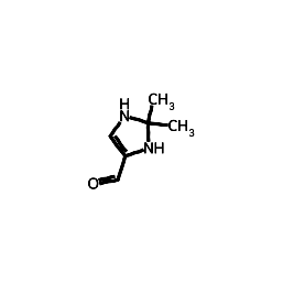 CC1(C)NC=C(C=O)N1